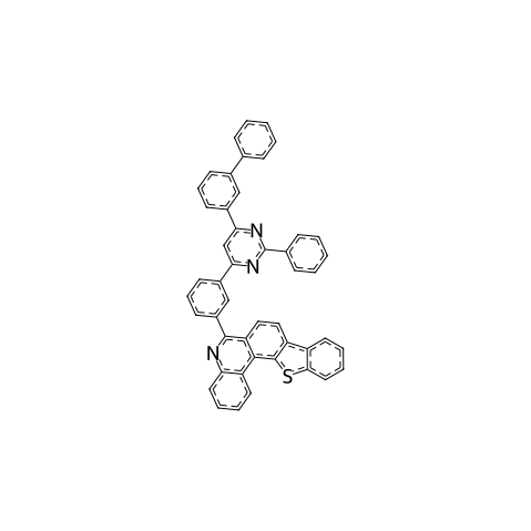 c1ccc(-c2cccc(-c3cc(-c4cccc(-c5nc6ccccc6c6c5ccc5c7ccccc7sc56)c4)nc(-c4ccccc4)n3)c2)cc1